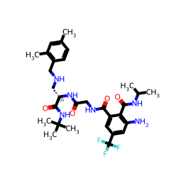 Cc1ccc(CNC[C@H](NC(=O)CNC(=O)c2cc(C(F)(F)F)cc(N)c2C(=O)NC(C)C)C(=O)NC(C)(C)C)c(C)c1